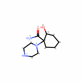 NC(=O)C1(N2CCNCC2)CCCC[C]1O